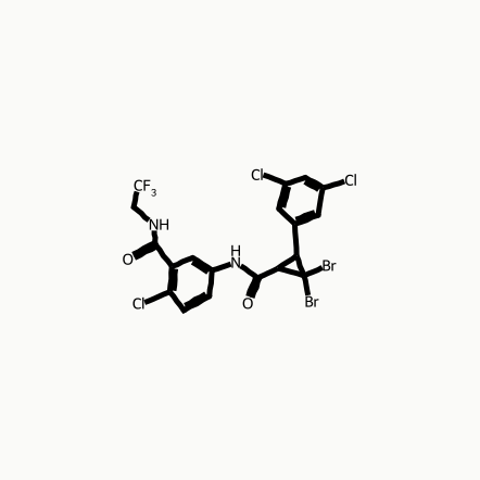 O=C(NCC(F)(F)F)c1cc(NC(=O)C2C(c3cc(Cl)cc(Cl)c3)C2(Br)Br)ccc1Cl